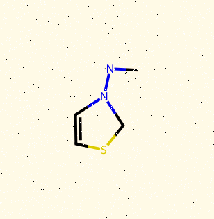 C[N]N1C=CSC1